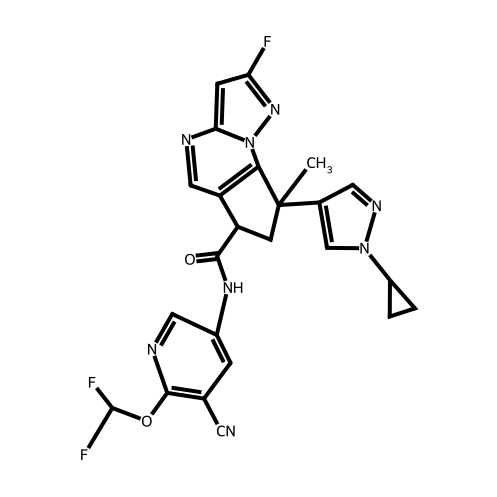 CC1(c2cnn(C3CC3)c2)CC(C(=O)Nc2cnc(OC(F)F)c(C#N)c2)c2cnc3cc(F)nn3c21